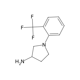 NC1CCN(c2ccccc2C(F)(F)F)C1